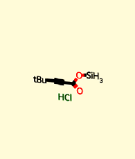 CC(C)(C)C#CC(=O)O[SiH3].Cl